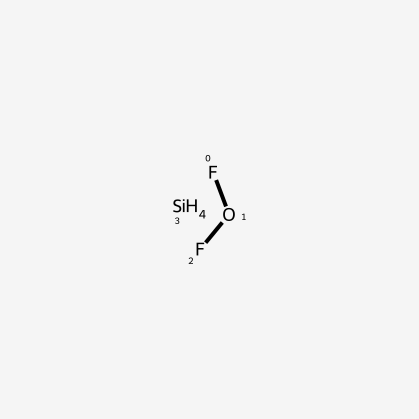 FOF.[SiH4]